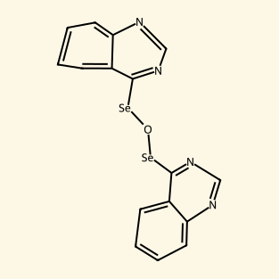 c1ccc2c([Se]O[Se]c3ncnc4ccccc34)ncnc2c1